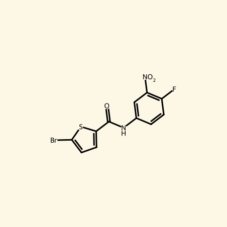 O=C(Nc1ccc(F)c([N+](=O)[O-])c1)c1ccc(Br)s1